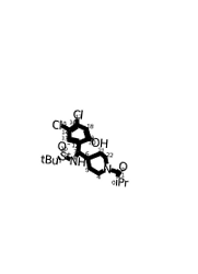 CC(C)C(=O)N1CCC(C(N[S+]([O-])C(C)(C)C)c2cc(Cl)c(Cl)cc2O)CC1